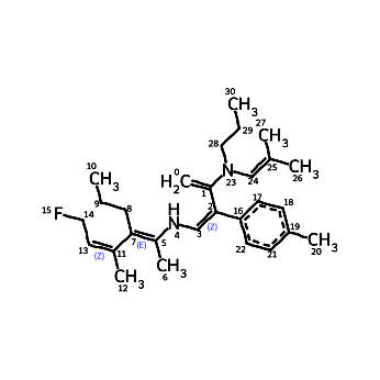 C=C(/C(=C\N/C(C)=C(CCC)/C(C)=C\CF)c1ccc(C)cc1)N(C=C(C)C)CCC